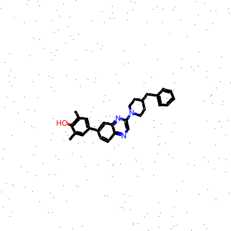 Cc1cc(-c2ccc3ncc(N4CCC(Cc5ccccc5)CC4)nc3c2)cc(C)c1O